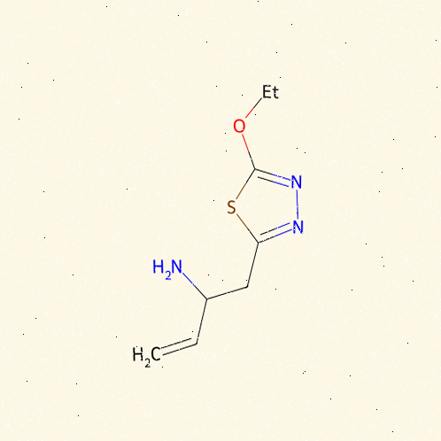 C=CC(N)Cc1nnc(OCC)s1